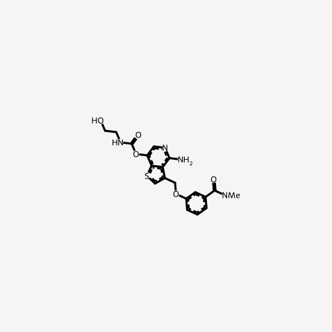 CNC(=O)c1cccc(OCc2csc3c(OC(=O)NCCO)cnc(N)c23)c1